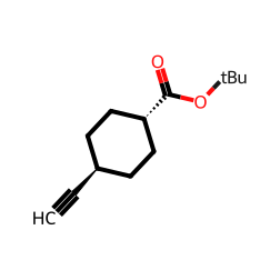 C#C[C@H]1CC[C@H](C(=O)OC(C)(C)C)CC1